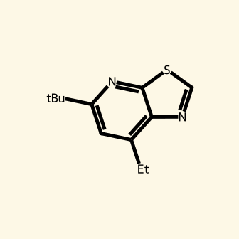 CCc1cc(C(C)(C)C)nc2scnc12